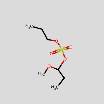 CCCOS(=O)(=O)OC(CC)OC